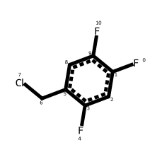 Fc1cc(F)c(CCl)cc1F